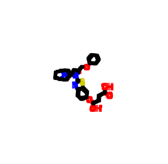 CN(c1nc2ccccc2s1)C1CC2CCC(C1)N2CCCCOc1ccccc1.O=C(O)C=CC(=O)O